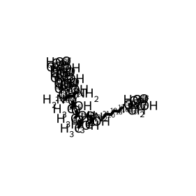 CC(=O)O.CC(=O)O.CC(=O)O.CC(=O)O.NCCCCCCN.NCCCCN.O=P(O)(O)CP(=O)(O)O.O=P(O)(O)CP(=O)(O)O.O=P(O)(O)CP(=O)(O)O.O=P(O)(O)CP(=O)(O)O